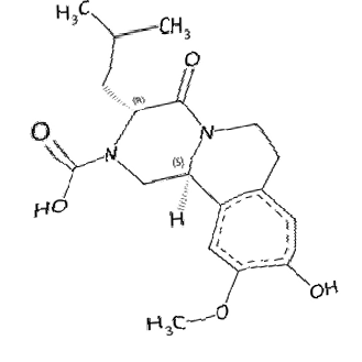 COc1cc2c(cc1O)CCN1C(=O)[C@@H](CC(C)C)N(C(=O)O)C[C@H]21